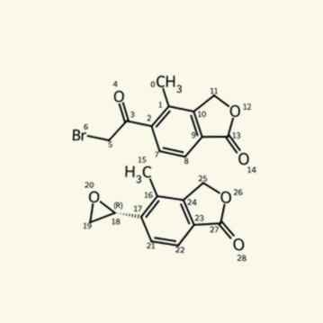 Cc1c(C(=O)CBr)ccc2c1COC2=O.Cc1c([C@@H]2CO2)ccc2c1COC2=O